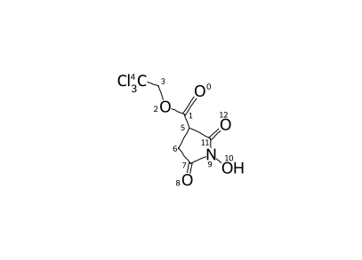 O=C(OCC(Cl)(Cl)Cl)C1CC(=O)N(O)C1=O